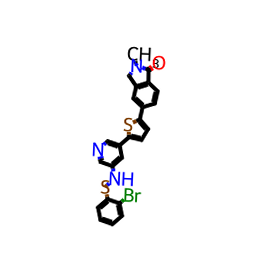 CN1Cc2cc(-c3ccc(-c4cncc(NSc5ccccc5Br)c4)s3)ccc2C1=O